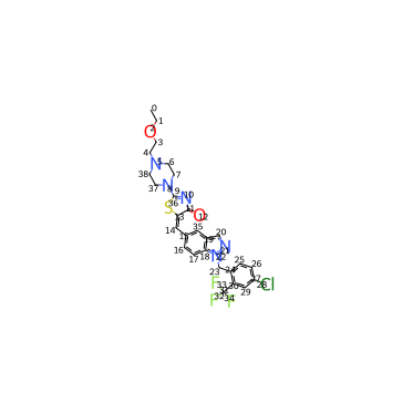 CCOCCN1CCN(C2=NC(=O)C(=Cc3ccc4c(cnn4Cc4ccc(Cl)cc4C(F)(F)F)c3)S2)CC1